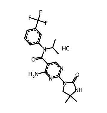 CC(C)N(C(=O)c1cnc(N2CC(C)(C)NC2=O)nc1N)c1cccc(C(F)(F)F)c1.Cl